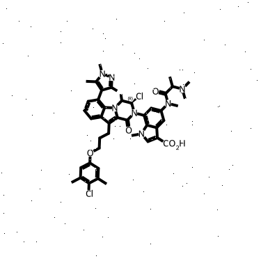 Cc1cc(OCCCc2c3n(c4c(-c5c(C)nn(C)c5C)cccc24)C(C)[C@@H](Cl)N(c2cc(N(C)C(=O)C(C)N(C)C)cc4c(C(=O)O)cn(C)c24)C3=O)cc(C)c1Cl